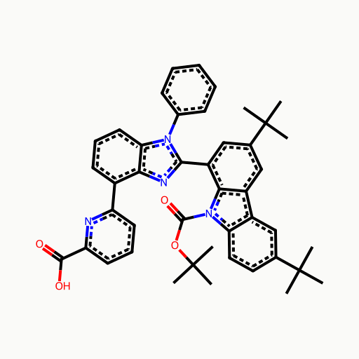 CC(C)(C)OC(=O)n1c2ccc(C(C)(C)C)cc2c2cc(C(C)(C)C)cc(-c3nc4c(-c5cccc(C(=O)O)n5)cccc4n3-c3ccccc3)c21